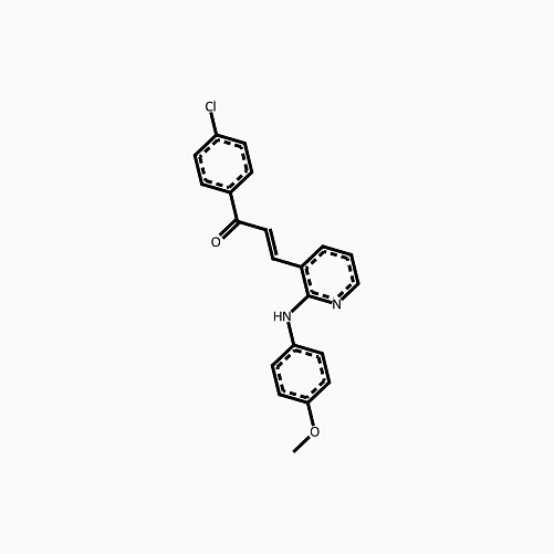 COc1ccc(Nc2ncccc2/C=C/C(=O)c2ccc(Cl)cc2)cc1